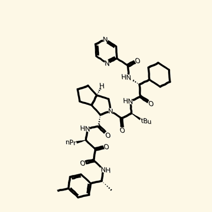 CCC[C@@H](NC(=O)[C@@H]1C2CCC[C@H]2CN1C(=O)[C@@H](NC(=O)[C@H](NC(=O)c1cnccn1)C1CCCCC1)C(C)(C)C)C(=O)C(=O)N[C@H](C)c1ccc(C)cc1